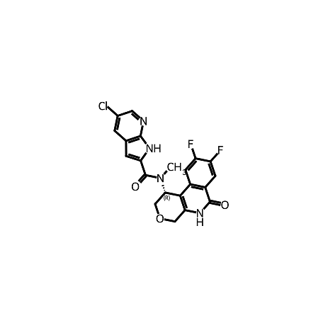 CN(C(=O)c1cc2cc(Cl)cnc2[nH]1)[C@H]1COCc2[nH]c(=O)c3cc(F)c(F)cc3c21